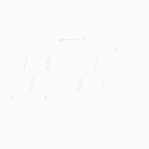 CC(C)c1ccccc1OOc1ccccc1C(C)C.OO